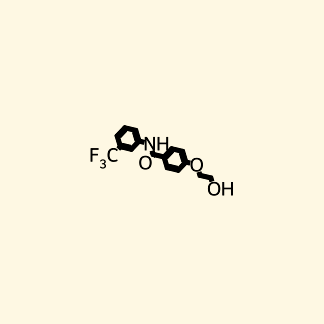 O=C(Nc1cccc(C(F)(F)F)c1)c1ccc(OCCO)cc1